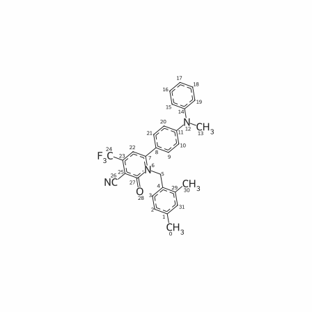 Cc1ccc(Cn2c(-c3ccc(N(C)c4ccccc4)cc3)cc(C(F)(F)F)c(C#N)c2=O)c(C)c1